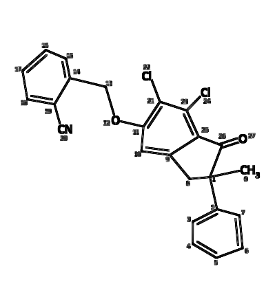 CC1(c2ccccc2)Cc2cc(OCc3ccccc3C#N)c(Cl)c(Cl)c2C1=O